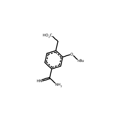 CCCCOc1cc(C(=N)N)ccc1CC(=O)O